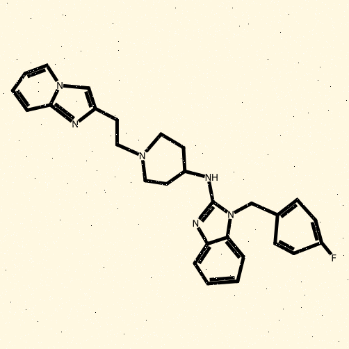 Fc1ccc(Cn2c(NC3CCN(CCc4cn5ccccc5n4)CC3)nc3ccccc32)cc1